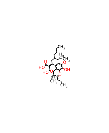 CCCCC(CC)CC(=C(C(=O)O)C(=O)O)c1cc(OC)c(O)c(OC)c1CC(CC)CCCC